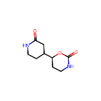 O=C1CC(C2CCNC(=O)O2)CCN1